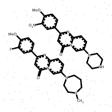 COc1ccc(-c2cc(=O)n3cc(N4CCCN(C)CC4)ccc3n2)cc1F.COc1ccc(-c2cc(=O)n3cc(N4CCNCC4)ccc3n2)cc1[N+](=O)[O-]